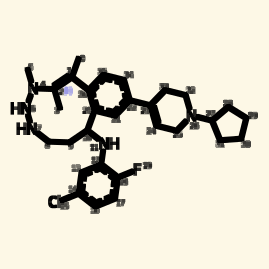 C/C1=C(/C)N(C)NNCCC(Nc2cc(Cl)ccc2F)c2cc(C3=CCN(C4CCCC4)CC3)ccc21